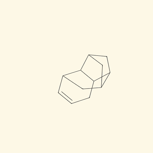 C1=CC2CC3CC4CC3C(C1)C24